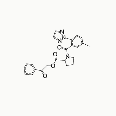 Cc1ccc(-n2nccn2)c(C(=O)N2CCCC2C(=O)OCC(=O)c2ccccc2)c1